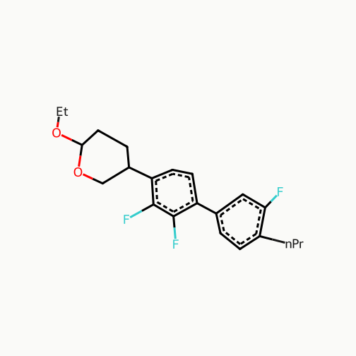 CCCc1ccc(-c2ccc(C3CCC(OCC)OC3)c(F)c2F)cc1F